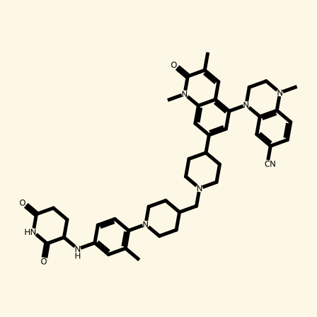 Cc1cc(NC2CCC(=O)NC2=O)ccc1N1CCC(CN2CCC(c3cc(N4CCN(C)c5ccc(C#N)cc54)c4cc(C)c(=O)n(C)c4c3)CC2)CC1